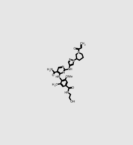 C=CC(=O)N1CCCC(n2cc(Nc3ncc(C(N)=O)c(Nc4c(C)cc(C(=O)NCCO)cc4OC)n3)cn2)C1